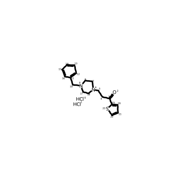 Cl.Cl.O=C(CCN1CCN(Cc2ccccc2)CC1)c1cccs1